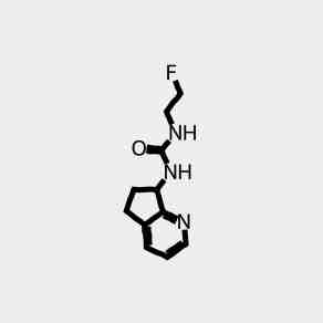 O=C(NCCF)NC1CCc2cccnc21